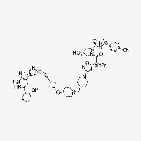 CC(C)[C@H](C(=O)N1C[C@H](O)C[C@H]1C(=O)N[C@@H](C)c1ccc(C#N)cc1)c1cc(N2CCC(CN3CCC(O[C@H]4C[C@H](C#C[C@@H](C)n5cc(C6=C(N)NNC(c7ccccc7O)=C6)cn5)C4)CC3)CC2)no1